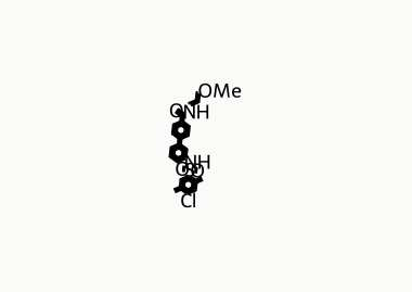 COCCCNC(=O)c1ccc(-c2cccc(NS(=O)(=O)c3cc(C)c(Cl)cc3C)c2)cc1